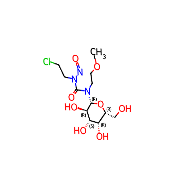 COCCN(C(=O)N(CCCl)N=O)[C@@H]1O[C@H](CO)[C@H](O)[C@H](O)[C@H]1O